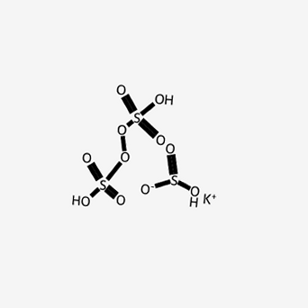 O=S(=O)(O)OOS(=O)(=O)O.O=S([O-])O.[K+]